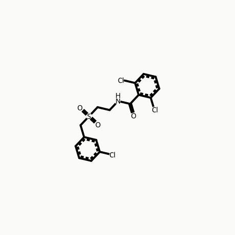 O=C(NCCS(=O)(=O)Cc1cccc(Cl)c1)c1c(Cl)cccc1Cl